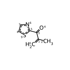 C=C(C)C(=O)c1nccs1